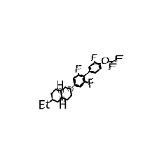 CCC1CC[C@@H]2C[C@H](c3cc(F)c(-c4ccc(OC(F)F)c(F)c4)c(F)c3)CC[C@@H]2C1